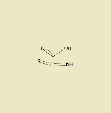 N=C=S.O=CO